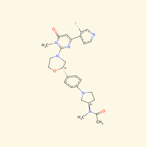 CC(=O)N(C)[C@@H]1CCN(c2ccc([C@H]3CN(c4nc(-c5ccncc5F)cc(=O)n4C)CCO3)cc2)C1